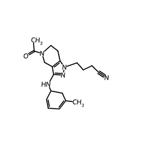 CC(=O)N1CCc2c(c(NC3C=CC=C(C)C3)nn2CCCC#N)C1